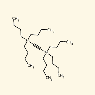 CCC[CH2][Sn]([C]#[C][Sn]([CH2]CCC)([CH2]CCC)[CH2]CCC)([CH2]CCC)[CH2]CCC